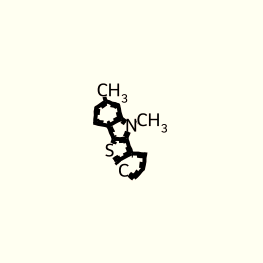 Cc1ccc2c3sc4ccccc4c3n(C)c2c1